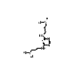 CCN(CC)CCCNc1n[c]nc(NCCCN(CC)CC)n1